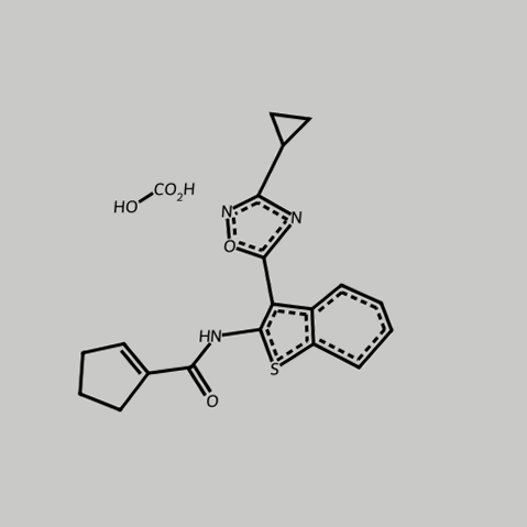 O=C(Nc1sc2ccccc2c1-c1nc(C2CC2)no1)C1=CCCC1.O=C(O)O